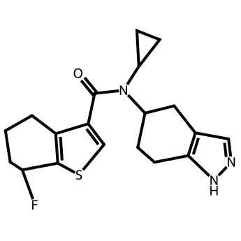 O=C(c1csc2c1CCCC2F)N(C1CC1)C1CCc2[nH]ncc2C1